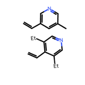 C=Cc1c(CC)cncc1CC.C=Cc1cncc(C)c1